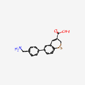 NCc1ccc(-c2ccc3c(c2)C=C(C(=O)O)CS3)cc1